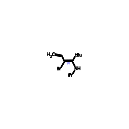 C=C/C(Br)=C(/NC(C)C)C(C)(C)C